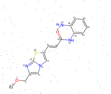 CCOCc1cn2cc(C=CC(=O)Nc3ccccc3N)sc2n1